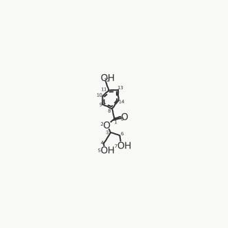 O=C(OC(CO)CO)c1ccc(O)cc1